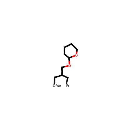 COCC(COC1CCCCO1)CC(C)C